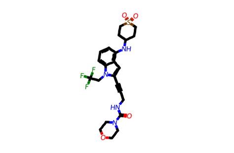 O=C(NCC#Cc1cc2c(NC3CCS(=O)(=O)CC3)cccc2n1CC(F)(F)F)N1CCOCC1